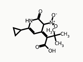 CC(C)(C)C(C(=O)O)=C1C=C(C2CC2)NC(=O)C1[N+](=O)[O-]